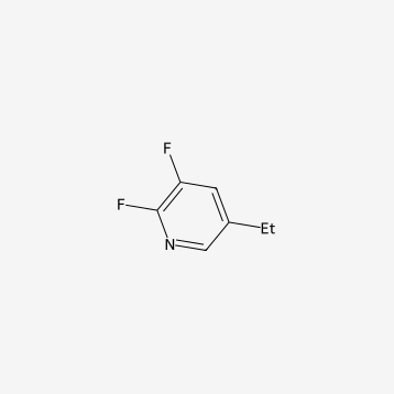 CCc1cnc(F)c(F)c1